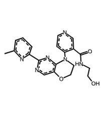 Cc1cccc(-c2ncc3c(n2)N(c2ccncc2C(=O)NCCO)CCO3)n1